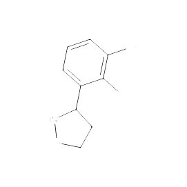 Fc1c(C2CCON2)cccc1C(F)(F)F